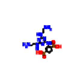 NCCNc1nc(NCCN)nc(Nc2cc(S(=O)O)ccc2S(=O)O)n1